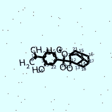 C=C(C)c1ccc(C2(OC)OOC23C2CC4CC(C2)CC3C4)cc1O